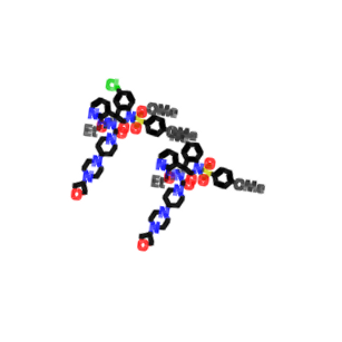 CCOc1ncccc1[C@]1(NC(=O)N2CCC(N3CCN(C4COC4)CC3)CC2)C(=O)N(S(=O)(=O)c2ccc(OC)cc2)c2ccc(C#N)cc21.CCOc1ncccc1[C@]1(NC(=O)N2CCC(N3CCN(C4COC4)CC3)CC2)C(=O)N(S(=O)(=O)c2ccc(OC)cc2OC)c2ccc(Cl)cc21